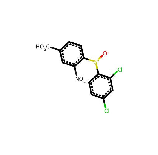 O=C(O)c1ccc([S+]([O-])c2ccc(Cl)cc2Cl)c([N+](=O)[O-])c1